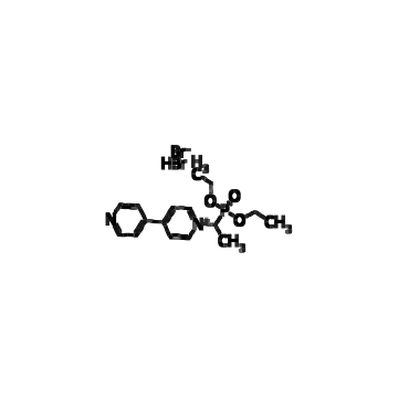 Br.CCOP(=O)(OCC)C(C)[n+]1ccc(-c2ccncc2)cc1.[Br-]